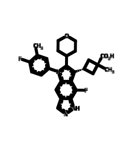 Cc1cc(-n2c(C3CCOCC3)c([C@H]3C[C@](C)(C(=O)O)C3)c3c(F)c4[nH]ncc4cc32)ccc1F